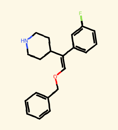 Fc1cccc(C(=COCc2ccccc2)C2CCNCC2)c1